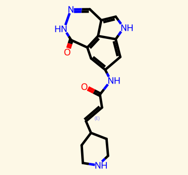 O=C(/C=C/C1CCNCC1)Nc1cc2c3c(c[nH]c3c1)C=NNC2=O